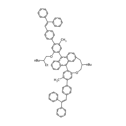 CCCCC(CC)COc1cc(-c2ccc(C=C(c3ccccc3)c3ccccc3)cc2)c(C)cc1-c1c2ccccc2c2c3cc(ccc13)CC(CCCC)COc1cc(-c3ccc(C=C(c4ccccc4)c4ccccc4)cc3)c(C)cc1-2